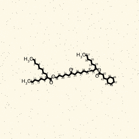 CCCCCCCCC(CCCCCC)C(=O)OCCCCCC(=O)CCCCCSCC(CCCCCC)OC(=O)CCC1CCCCC1